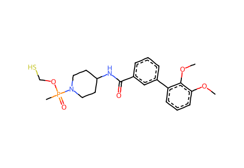 COc1cccc(-c2cccc(C(=O)NC3CCN(P(C)(=O)OCS)CC3)c2)c1OC